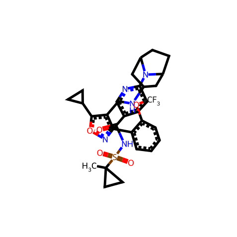 CC1(S(=O)(=O)NC(=O)c2ccc(N3C4CCC3CC(NCc3c(-c5ccccc5OC(F)(F)F)noc3C3CC3)C4)nc2)CC1